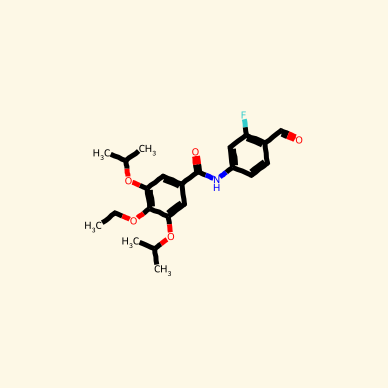 CCOc1c(OC(C)C)cc(C(=O)Nc2ccc(C=O)c(F)c2)cc1OC(C)C